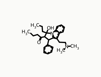 CCCC(=O)C1C(c2ccccc2)c2c(CCN(C)C)c3ccccc3n2C1(O)CCC